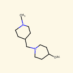 CC(=O)OC1CCN(CC2CCN(C)CC2)CC1